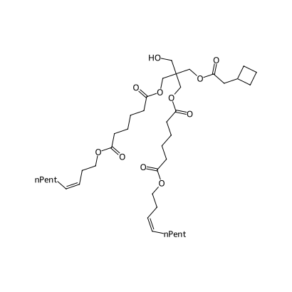 CCCCC/C=C\CCOC(=O)CCCCC(=O)OCC(CO)(COC(=O)CCCCC(=O)OCC/C=C\CCCCC)COC(=O)CC1CCC1